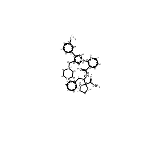 NC(=O)C1(C(Cc2ccccc2)NC(=O)c2cccnc2-n2cc(CN3CCOCC3)c(-c3cccc(C(F)(F)F)c3)n2)OCCO1